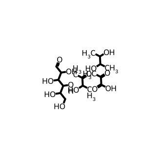 CC(=O)C(=O)O.CC(=O)C(C)O.CC(O)C(C)O.O=CC(O)C(O)C(O)C(O)CO